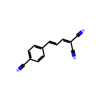 N#CC(C#N)=CC=Cc1ccc(C#N)cc1